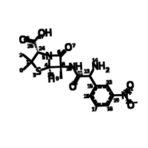 CC1(C)S[C@H]2N(C(=O)[C@]2(C)NC(=O)C(N)c2cccc([N+](=O)[O-])c2)[C@H]1C(=O)O